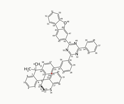 CC1(C)c2ccccc2C2(c3ccccc3Sc3ccccc32)c2cc(-c3cccc(-c4nc(-c5ccccc5)nc(-c5ccc6c(c5)oc5ccccc56)n4)c3)ccc21